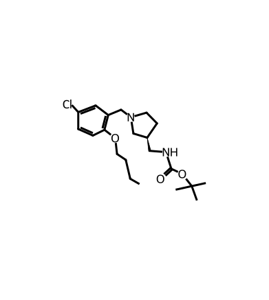 CCCCOc1ccc(Cl)cc1CN1CC[C@@H](CNC(=O)OC(C)(C)C)C1